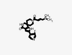 CN(C)CC=CC(=O)N1CCC2(CC1)CNC(=O)c1cc(-c3ccncc3F)[nH]c12